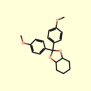 COc1ccc(C2(c3ccc(OC)cc3)OC3CCCCC3O2)cc1